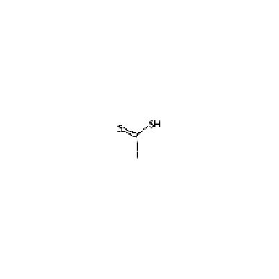 S=C(S)I